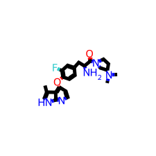 Cc1c[nH]c2nccc(Oc3ccc(CC(N)C(=O)N4CCC(N(C)C)C4)cc3F)c12